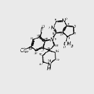 C[C@@H]1CCc2ncnc(N3CC4(CCNCC4)c4cc(Cl)cc(F)c43)c21